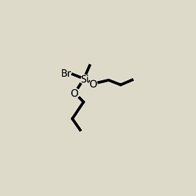 CCCO[Si](C)(Br)OCCC